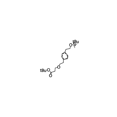 CC(C)(C)OC(=O)CCOCCc1ccc(CCO[Si](C)(C)C(C)(C)C)cc1